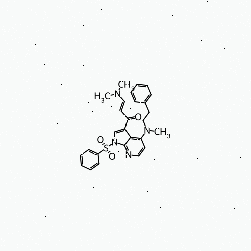 CN(C)/C=C/C(=O)c1cn(S(=O)(=O)c2ccccc2)c2nccc(N(C)CCc3ccccc3)c12